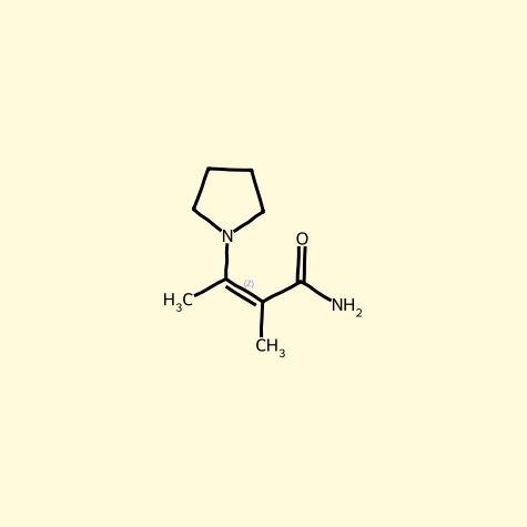 C/C(C(N)=O)=C(\C)N1CCCC1